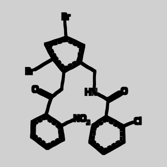 O=C(NCc1cc(Br)cc(Br)c1CC(=O)c1ccccc1[N+](=O)[O-])c1ccccc1Cl